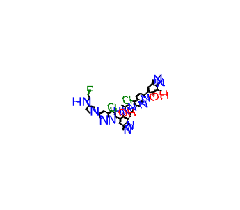 Cc1c(O)c(-c2ccc3c(Cl)c(N4CC(C)NC(Cc5c(O)c(-c6cc(Cl)c7cc(N8CCC(NCCF)C8)cnc7n6)cc6cn(C)nc56)C4)cnc3n2)cc2cn(C)nc12